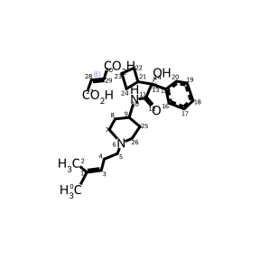 CC(C)=CCCN1CCC(NC(=O)[C@](O)(c2ccccc2)C2CCC2)CC1.O=C(O)/C=C/C(=O)O